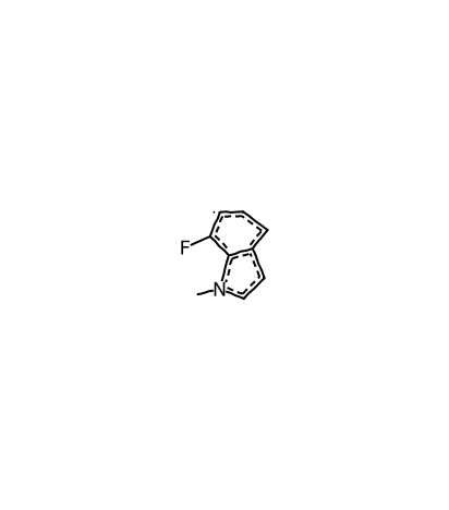 Cn1ccc2cc[c]c(F)c21